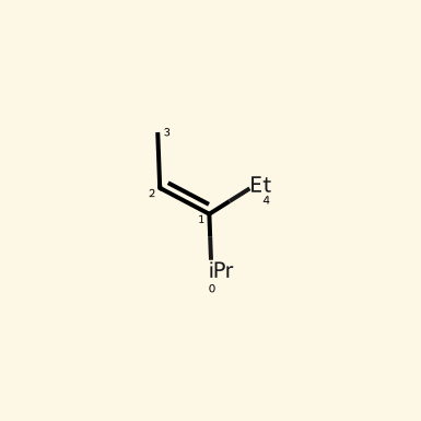 [CH2]C(C)C(=CC)CC